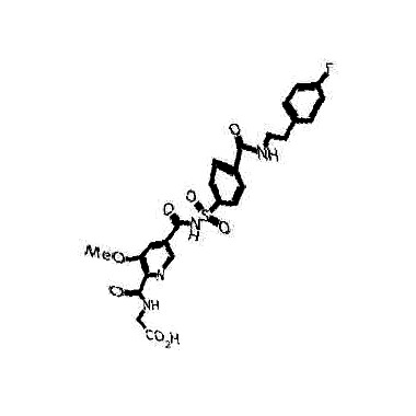 COc1cc(C(=O)NS(=O)(=O)c2ccc(C(=O)NCCc3ccc(F)cc3)cc2)cnc1C(=O)NCC(=O)O